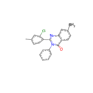 Bc1ccc2c(=O)n(-c3ccccc3)c(-c3ccc(C)cc3Cl)nc2c1